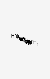 Cn1cc2cc(-c3ccc4cc(N5CCNCC5)ccc4n3)ccc2n1